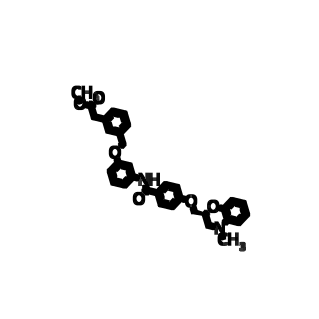 COC(=O)Cc1cccc(COc2cccc(NC(=O)c3ccc(OC[C@@H]4CN(C)c5ccccc5O4)cc3)c2)c1